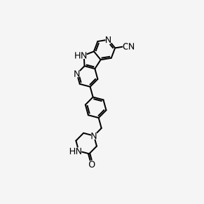 N#Cc1cc2c(cn1)[nH]c1ncc(-c3ccc(CN4CCNC(=O)C4)cc3)cc12